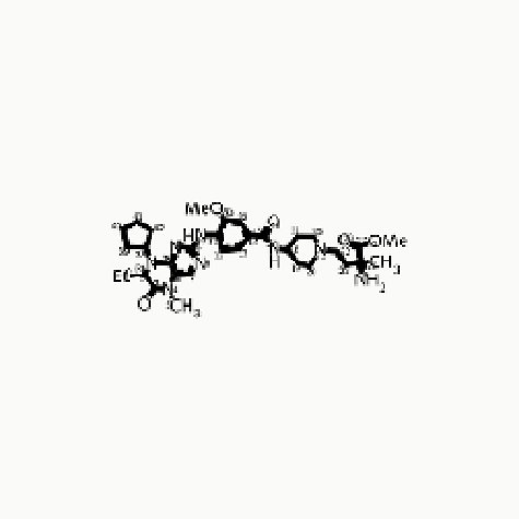 CC[C@@H]1C(=O)N(C)c2cnc(Nc3ccc(C(=O)NC4CCN(CC[C@@](C)(N)C(=O)OC)CC4)cc3OC)nc2N1C1CCCC1